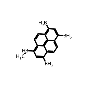 Bc1cc(B)c2ccc3c(BC)cc(B)c4ccc1c2c43